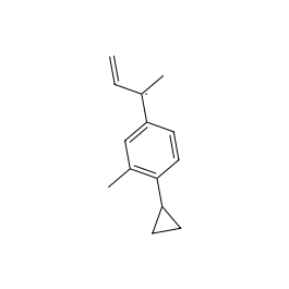 C=C[C](C)c1ccc(C2CC2)c(C)c1